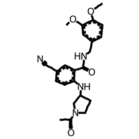 COc1ccc(CNC(=O)c2cc(C#N)ccc2NC2CCN(C(C)=O)C2)cc1OC